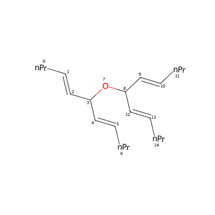 CCCC=CC(C=CCCC)OC(C=CCCC)C=CCCC